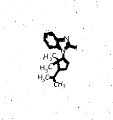 CC(C)C1CC=C(n2c(I)nc3ccccc32)C1(C)C